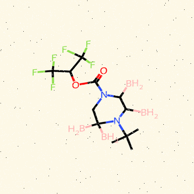 BC1C(B)N(C(C)(C)C)C(B)(B)CN1C(=O)OC(C(F)(F)F)C(F)(F)F